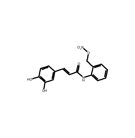 O=C(C=Cc1ccc(O)c(O)c1)Nc1ccccc1CO[N+](=O)[O-]